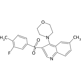 Cc1ccc2ncc(S(=O)(=O)c3ccc(C)c(F)c3)c(N3CCOCC3)c2c1